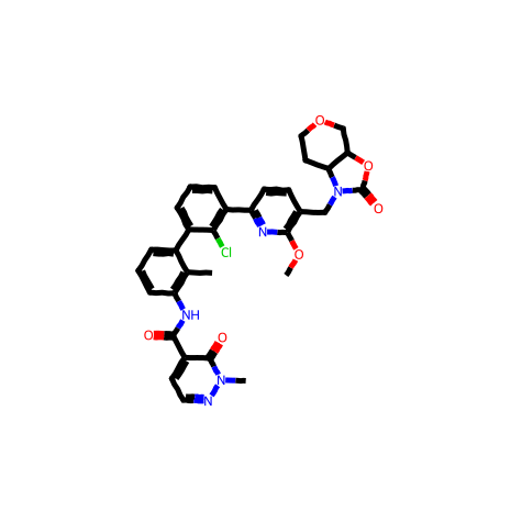 COc1nc(-c2cccc(-c3cccc(NC(=O)c4ccnn(C)c4=O)c3C)c2Cl)ccc1CN1C(=O)OC2COCCC21